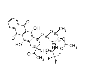 CC(=O)O[C@H]1[C@@H](NC(=O)C(F)(F)F)C[C@H](O[C@H]2C[C@](N)(C(C)=O)Cc3c(O)c4c(c(O)c32)C(=O)c2ccccc2C4=O)O[C@H]1C